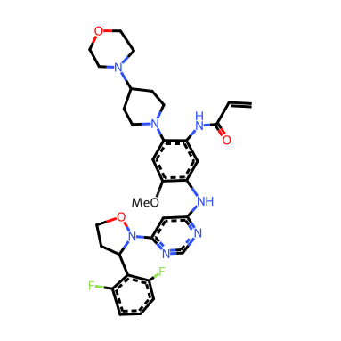 C=CC(=O)Nc1cc(Nc2cc(N3OCCC3c3c(F)cccc3F)ncn2)c(OC)cc1N1CCC(N2CCOCC2)CC1